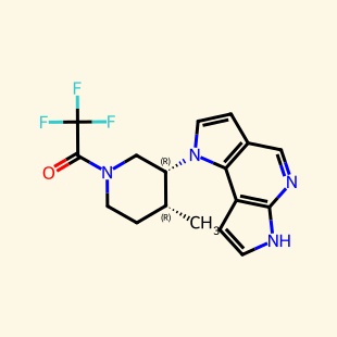 C[C@@H]1CCN(C(=O)C(F)(F)F)C[C@@H]1n1ccc2cnc3[nH]ccc3c21